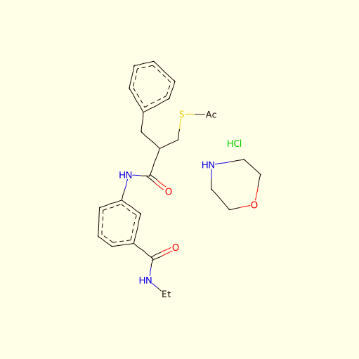 C1COCCN1.CCNC(=O)c1cccc(NC(=O)C(CSC(C)=O)Cc2ccccc2)c1.Cl